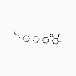 C=CCCC1CCC(C2CC=C(c3ccc(-c4ccc(C)c(F)c4Cl)cc3)CC2)CC1